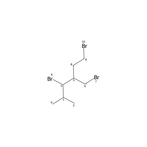 CC(C)C(Br)C([CH]Br)CCBr